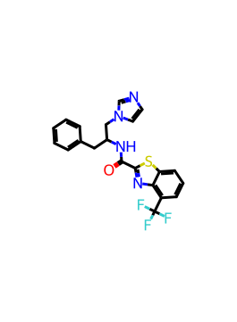 O=C(NC(Cc1ccccc1)Cn1ccnc1)c1nc2c(C(F)(F)F)cccc2s1